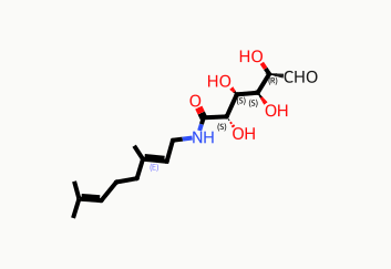 CC(C)=CCC/C(C)=C/CNC(=O)[C@@H](O)[C@@H](O)[C@H](O)[C@@H](O)C=O